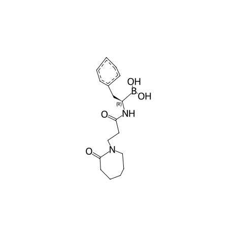 O=C(CCN1CCCCCC1=O)N[C@@H](Cc1ccccc1)B(O)O